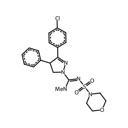 CN/C(=N\S(=O)(=O)N1CCOCC1)N1CC(c2ccccc2)C(c2ccc(Cl)cc2)=N1